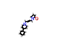 O=C1CCCN1CC#CCN1CC=C(c2ccccc2)CC1